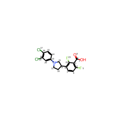 O=C(O)c1c(F)ccc(C2CCN(c3ccc(Cl)c(Cl)c3)C2)c1F